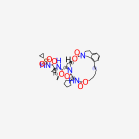 C=C[C@@H]1C[C@]1(NC(=O)[C@@H]1C[C@@H]2CN1C(=O)[C@H](C1CCCC1)NC(=O)OCCC/C=C/c1cccc3c1CN(CC3)C(=O)O2)C(=O)NS(=O)(=O)C1CC1